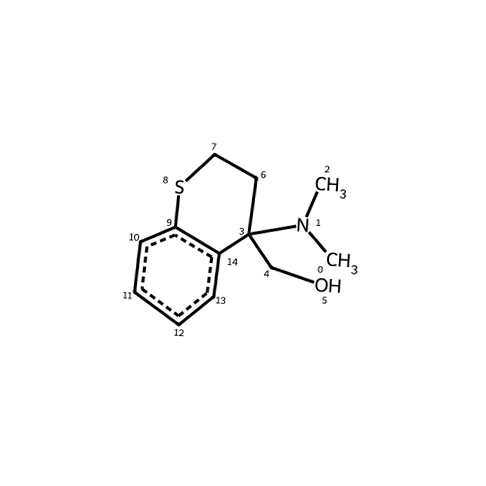 CN(C)C1(CO)CCSc2ccccc21